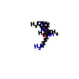 Cc1cc(N)c2c(OCC(C)(C)NC(=O)CCCCCN)cccc2n1